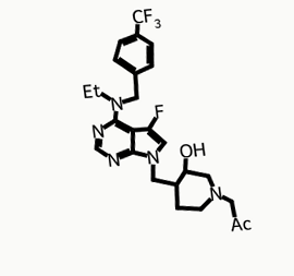 CCN(Cc1ccc(C(F)(F)F)cc1)c1ncnc2c1c(F)cn2CC1CCN(CC(C)=O)CC1O